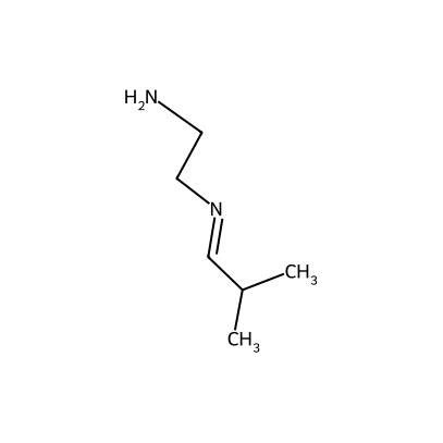 CC(C)C=NCCN